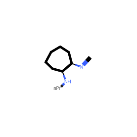 C=N[C@@H]1CCCCC[C@@H]1NCCC